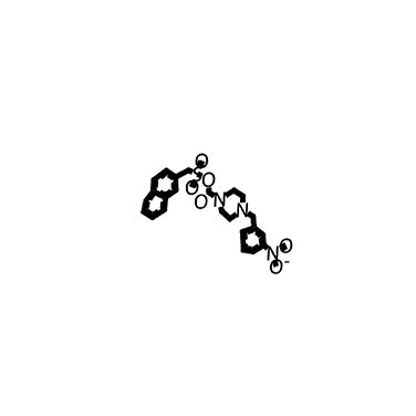 O=C(OS(=O)(=O)Cc1ccc2ccccc2c1)N1CCN(Cc2cccc([N+](=O)[O-])c2)CC1